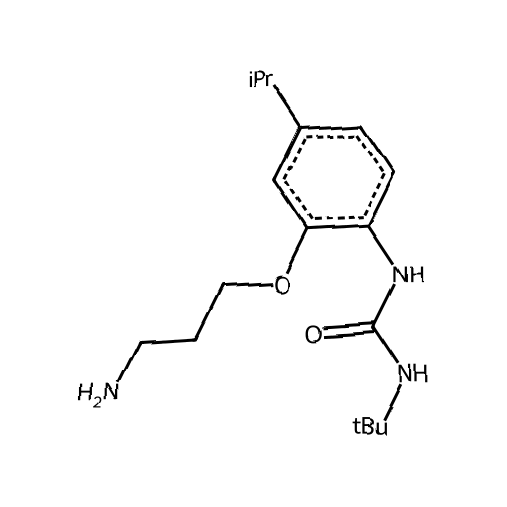 CC(C)c1ccc(NC(=O)NC(C)(C)C)c(OCCCN)c1